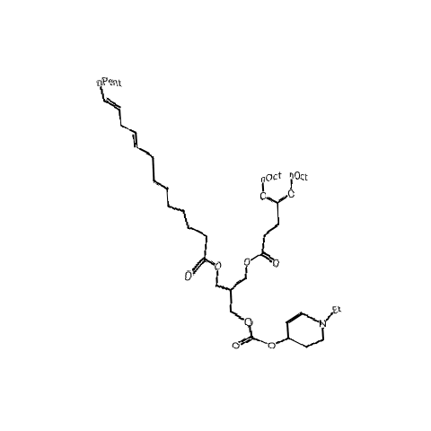 CCCCCC=CCC=CCCCCCCCC(=O)OCC(COC(=O)CCC(OCCCCCCCC)OCCCCCCCC)COC(=O)OC1CCN(CC)CC1